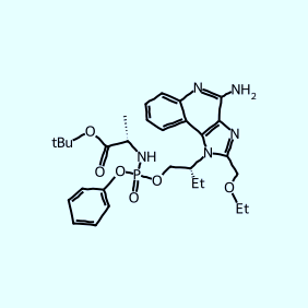 CCOCc1nc2c(N)nc3ccccc3c2n1[C@H](CC)COP(=O)(N[C@@H](C)C(=O)OC(C)(C)C)Oc1ccccc1